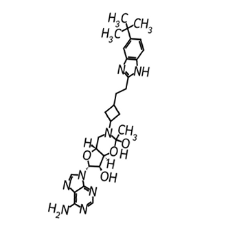 CC(C)(C)c1ccc2[nH]c(CCC3CC(N4C[C@H]5O[C@@H](n6cnc7c(N)ncnc76)[C@H](O)[C@@H]5OC4(C)O)C3)nc2c1